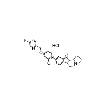 Cl.Cn1c2c(c3ccc(-n4ccc(OCc5ccc(F)cn5)cc4=O)cc31)CCN1CCCCC21